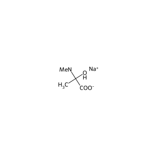 CNC(C)(O)C(=O)[O-].[Na+]